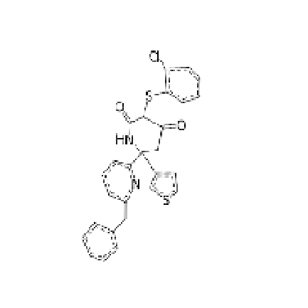 O=C1CC(c2ccsc2)(c2cccc(Cc3ccccc3)n2)NC(=O)C1Sc1ccccc1Cl